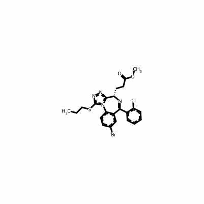 CCCSc1nnc2n1-c1ccc(Br)cc1C(c1ccccc1Cl)=N[C@H]2CCC(=O)OC